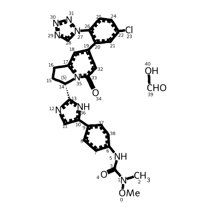 CON(C)C(=O)Nc1ccc(-c2cnc([C@@H]3CCc4cc(-c5cc(Cl)ccc5-n5cnnn5)cc(=O)n43)[nH]2)cc1.O=CO